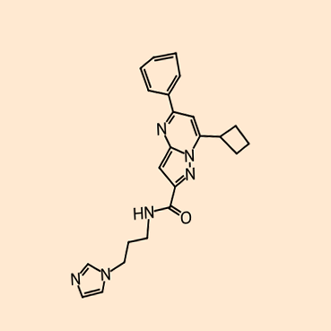 O=C(NCCCn1ccnc1)c1cc2nc(-c3ccccc3)cc(C3CCC3)n2n1